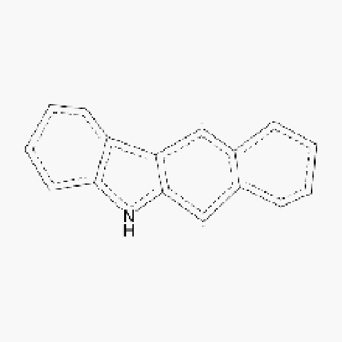 [c]1c2ccccc2[c]c2c1[nH]c1ccccc12